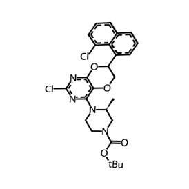 C[C@H]1CN(C(=O)OC(C)(C)C)CCN1c1nc(Cl)nc2c1OCC(c1cccc3cccc(Cl)c13)O2